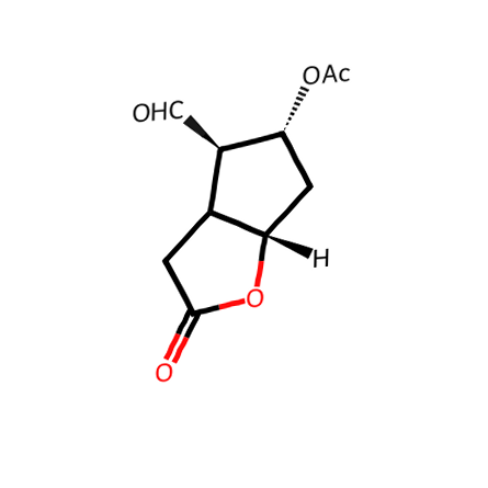 CC(=O)O[C@@H]1C[C@@H]2OC(=O)CC2[C@H]1C=O